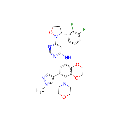 Cn1cc(-c2cc(Nc3cc(N4OCC[C@@H]4c4cccc(F)c4F)ncn3)c3c(c2N2CCOCC2)OCCO3)cn1